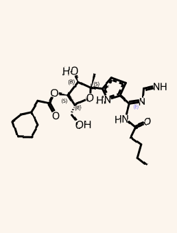 CCCCC(=O)N/C(=N/C=N)c1ccc([C@]2(C)O[C@H](CO)[C@@H](OC(=O)CC3CCCCC3)[C@H]2O)[nH]1